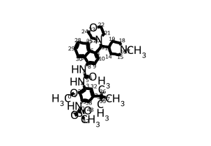 COc1c(NC(=O)Nc2ccc(C(C3CCN(C)CC3)N3CCOCC3)c3ccccc23)cc(C(C)(C)C)cc1NS(C)(=O)=O